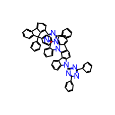 c1ccc(-c2nc(-c3ccccc3-n3c4ccccc4c4ccc5c(c6ccccc6n5-c5nc(-c6ccccc6)nc(-c6ccccc6)n5)c43)nc(-c3cccc4c3C(c3ccccc3)(c3ccccc3)c3ccccc3-4)n2)cc1